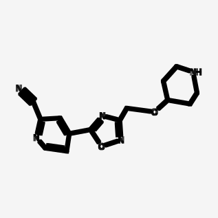 N#Cc1cc(-c2nc(COC3CCNCC3)no2)ccn1